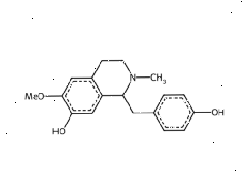 COc1cc2c(cc1O)C(Cc1ccc(O)cc1)N(C)CC2